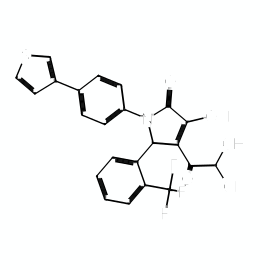 CC(C)C(=O)C1=C(O)C(=O)N(c2ccc(-c3ccsc3)cc2)C1c1ccccc1C(F)(F)F